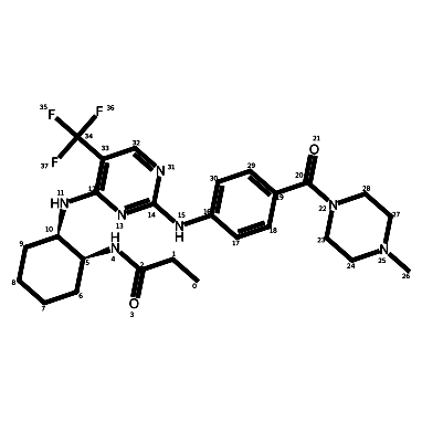 CCC(=O)N[C@H]1CCCC[C@H]1Nc1nc(Nc2ccc(C(=O)N3CCN(C)CC3)cc2)ncc1C(F)(F)F